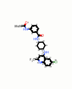 CNC(=O)Nc1cccc(C(=O)N[C@H]2CC[C@@H](Nc3cc(C(F)(F)F)nc4ccc(Cl)cc34)CC2)c1